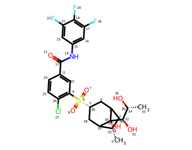 C[C@H]1CC2C[C@@H](S(=O)(=O)c3cc(C(=O)Nc4cc(F)c(F)c(F)c4)ccc3Cl)CC1[C@@]2(O)[C@H](O)[C@@H](C)O